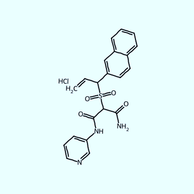 C=CC(c1ccc2ccccc2c1)S(=O)(=O)C(C(N)=O)C(=O)Nc1cccnc1.Cl